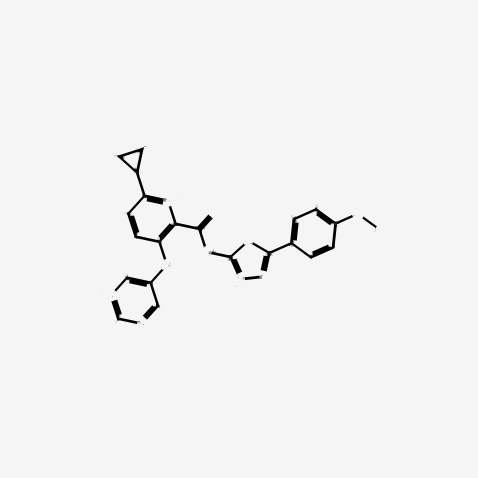 COc1ccc(-c2nnc(NC(=O)c3nc(C4CC4)ccc3Nc3cncnc3)s2)cc1